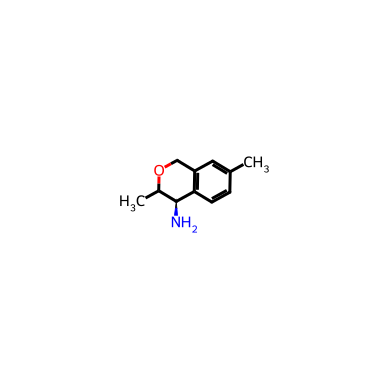 Cc1ccc2c(c1)COC(C)[C@@H]2N